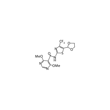 COc1ncnc(OC)c1C(=O)Nc1nc(C(F)(F)F)c(C2OCCO2)s1